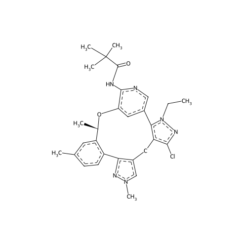 CCn1nc(Cl)c2c1-c1cnc(NC(=O)C(C)(C)C)c(c1)O[C@H](C)c1cc(C)ccc1-c1nn(C)cc1C2